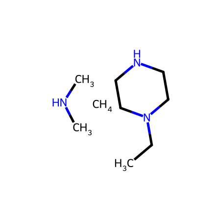 C.CCN1CCNCC1.CNC